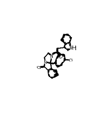 O=C(Cc1c[nH]c2ccccc12)N1CCN2C(=O)c3ccccc3C12c1ccc(Cl)cc1